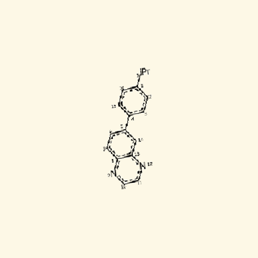 CC(C)c1ccc(-c2ccc3nccnc3c2)cc1